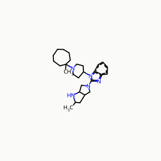 CC1CC2CN(c3nc4ccccc4n3C3CCN(C4(C)CCCCCCC4)CC3)CC2N1